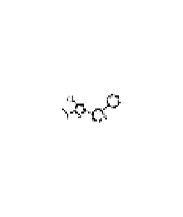 CC(C)c1sc(-c2ccnc(-c3ccccc3)c2)cc1Cl